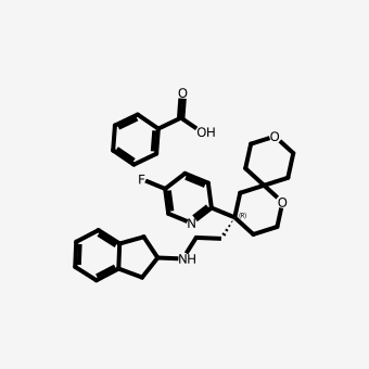 Fc1ccc([C@]2(CCNC3Cc4ccccc4C3)CCOC3(CCOCC3)C2)nc1.O=C(O)c1ccccc1